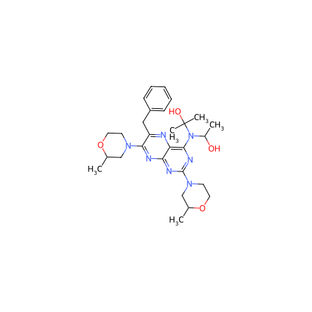 CC1CN(c2nc(N(C(C)O)C(C)(C)O)c3nc(Cc4ccccc4)c(N4CCOC(C)C4)nc3n2)CCO1